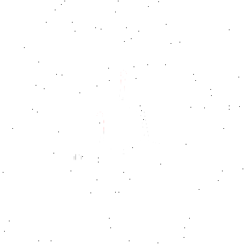 Cc1cc(C(C)C)oc(=O)c1